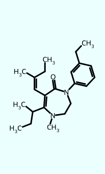 CC/C(C)=C\C1=C(C(C)CC)N(C)CCN(c2cccc(CC)c2)C1=O